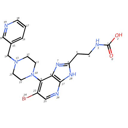 O=C(O)NCCc1nc2c(N3CCN(Cc4cccnc4)CC3)c(Br)cnc2[nH]1